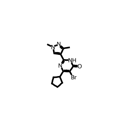 Cc1nn(C)cc1-c1nc(C2CCCC2)c(Br)c(=O)[nH]1